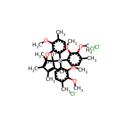 COc1c(C)ccc([Si](c2ccc(C)c(OC)c2OC)(c2ccc(C)c(OC)c2OC)[C]2([Ti+3])C(C)=C(C)C(C)=C2C)c1OC.[Cl-].[Cl-].[Cl-]